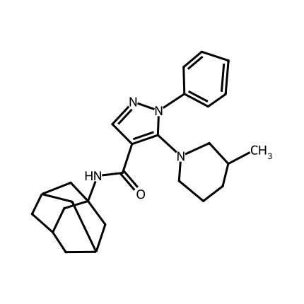 CC1CCCN(c2c(C(=O)NC34CC5CC(CC(C5)C3)C4)cnn2-c2ccccc2)C1